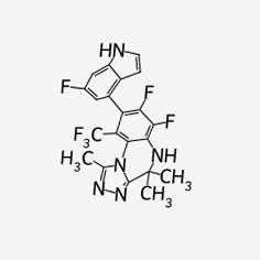 Cc1nnc2n1-c1c(c(F)c(F)c(-c3cc(F)cc4[nH]ccc34)c1C(F)(F)F)NC2(C)C